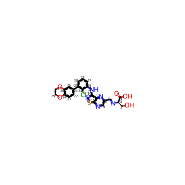 O=C(O)[C@@H](CO)N=Cc1cnc2snc(Nc3cccc(-c4ccc5c(c4)OCCO5)c3Cl)c2n1